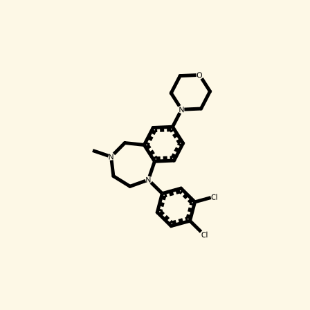 CN1CCN(c2ccc(Cl)c(Cl)c2)c2ccc(N3CCOCC3)cc2C1